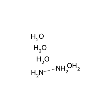 NN.O.O.O.O